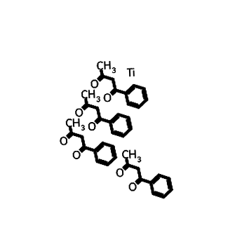 CC(=O)CC(=O)c1ccccc1.CC(=O)CC(=O)c1ccccc1.CC(=O)CC(=O)c1ccccc1.CC(=O)CC(=O)c1ccccc1.[Ti]